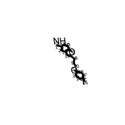 NCc1ccc2oc(CCCOc3ccc(F)cc3)cc2c1